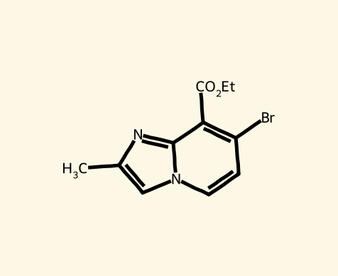 CCOC(=O)c1c(Br)ccn2cc(C)nc12